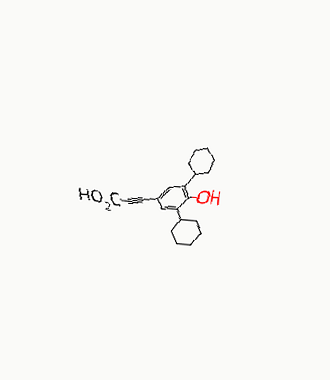 O=C(O)C#Cc1cc(C2CCCCC2)c(O)c(C2CCCCC2)c1